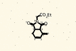 C=C1C=CCC2C(=O)N(CC(=O)OCC)C(=O)C12